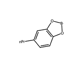 CCCc1ccc2c(c1)O[B]O2